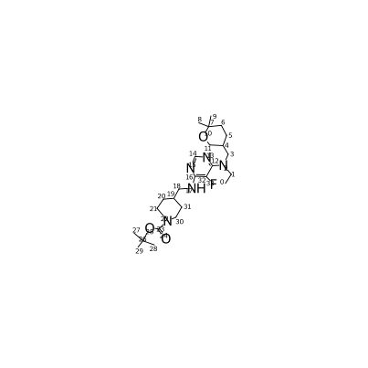 CCN(CC1CCC(C)(C)OC1)c1ncnc(NCC2CCN(C(=O)OC(C)(C)C)CC2)c1F